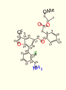 COCC(C)OC(=O)Cc1ccc(C)cc1OCc1cc(-c2cccc(CN)c2F)c2occ(C(F)(F)F)c2c1